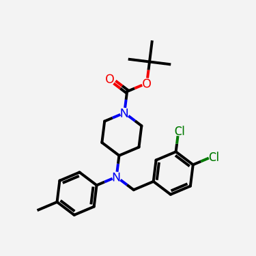 Cc1ccc(N(Cc2ccc(Cl)c(Cl)c2)C2CCN(C(=O)OC(C)(C)C)CC2)cc1